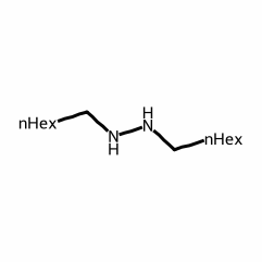 CCCCCCCNNCCCCCCC